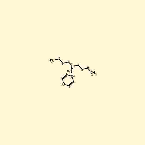 C1=COC=CO1.CCC[CH2][Sn](=[O])[CH2]CCC